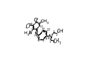 CCN(CCO)c1ccc(N=C2C=C(C)C(=O)C(Cl)=C2N)cc1